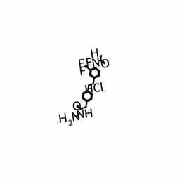 CC(=O)Nc1ccc(CCc2ccc(CC(=O)NN)cc2)cc1C(F)(F)F.Cl